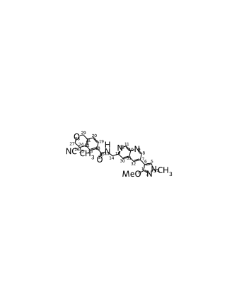 COc1nn(C)cc1-c1cnc2cnc(CNC(=O)c3ccc4c(c3)[C@](C)(C#N)COC4)cc2c1